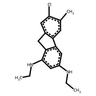 CCNc1cc(NCC)c2c(c1)-c1cc(C)c(Cl)cc1C2